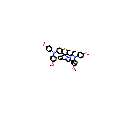 C=C/C(=C\C1=C(C)Sc2ccc(N(c3ccc(OC)cc3)c3ccc(OC)cc3)cc2C12c1ccccc1-c1cc(C(C)(C)C)nn12)N(c1ccc(OC)cc1)c1ccc(OC)cc1